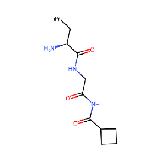 CC(C)C[C@H](N)C(=O)NCC(=O)NC(=O)C1CCC1